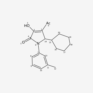 CC(=O)C1=C(O)C(=O)N(c2cccc(C)c2)C1C1CCCCC1